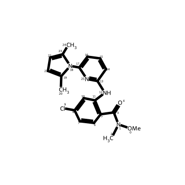 CON(C)C(=O)c1ccc(Cl)cc1Nc1cccc(-n2c(C)ccc2C)n1